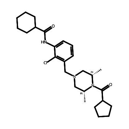 C[C@@H]1CN(Cc2cccc(NC(=O)C3CCCCC3)c2Cl)C[C@H](C)N1C(=O)C1CCCC1